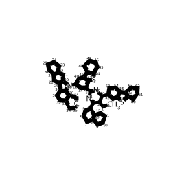 CCC1C(c2cccc3ccccc23)=NC(c2cc(-n3c4cc5ccccc5cc4c4ccc5ccccc5c43)cc3c2sc2ccccc23)=NC1c1ccc2c(c1)sc1ccccc12